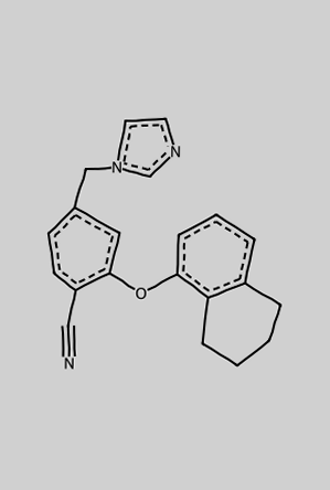 N#Cc1ccc(Cn2ccnc2)cc1Oc1cccc2c1CCCC2